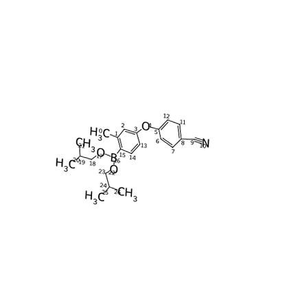 Cc1cc(Oc2ccc(C#N)cc2)ccc1B(OCC(C)C)OCC(C)C